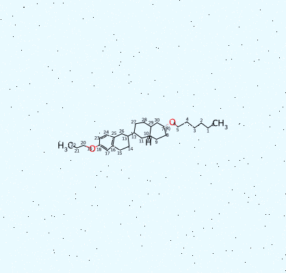 CCCCCCO[C@@H]1CC[C@@H]2CC(C3CCc4cc(OCCC)ccc4C3)CCC2C1